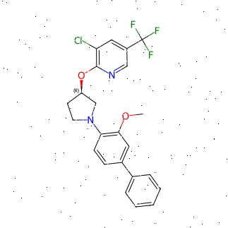 COc1cc(-c2ccccc2)ccc1N1CC[C@@H](Oc2ncc(C(F)(F)F)cc2Cl)C1